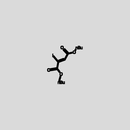 CCCCOC(=O)C=C(I)C(=O)OCCCC